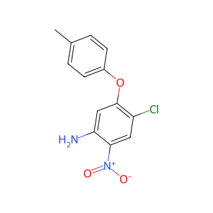 Cc1ccc(Oc2cc(N)c([N+](=O)[O-])cc2Cl)cc1